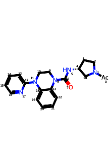 CC(=O)N1CC[C@@H](NC(=O)N2CCN(c3ccccn3)c3ccccc32)C1